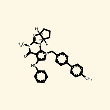 Cc1ccc(-c2ccc(Cn3cc(Nc4ccccc4)c4c3N3C(=N[C@@H]5CCC[C@@H]53)N(C)C4=O)cc2)cc1